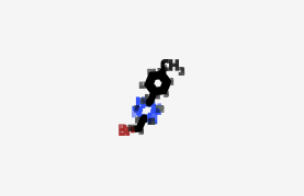 Cc1ccc(-c2nnc(CBr)nn2)cc1